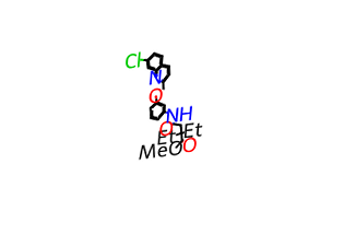 CCC(CC)(CC(=O)Nc1cccc(OCc2ccc3ccc(Cl)cc3n2)c1)C(=O)OC